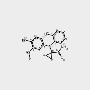 COc1cc(N(c2ccccc2Cl)C2(C(N)=O)CC2)ccc1Br